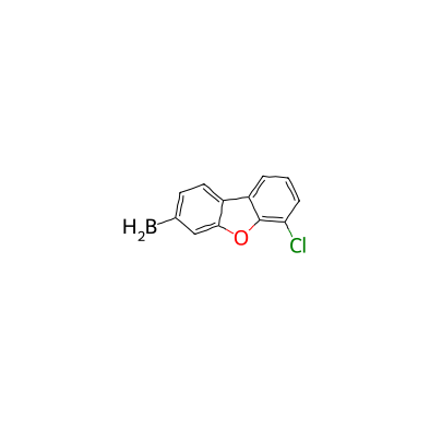 Bc1ccc2c(c1)oc1c(Cl)cccc12